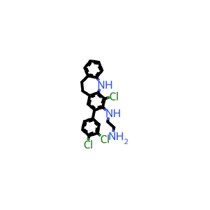 NCCNc1c(-c2ccc(Cl)c(Cl)c2)cc2c(c1Cl)Nc1ccccc1CC2